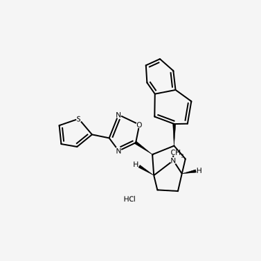 CN1[C@H]2CC[C@@H]1[C@@H](c1nc(-c3cccs3)no1)[C@@H](c1ccc3ccccc3c1)C2.Cl